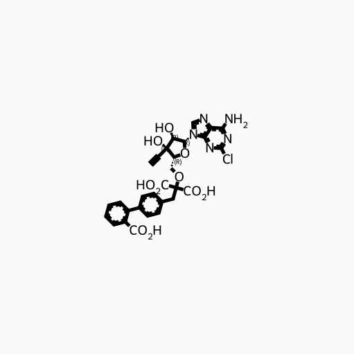 C#C[C@@]1(O)[C@@H](COC(Cc2ccc(-c3ccccc3C(=O)O)cc2)(C(=O)O)C(=O)O)O[C@@H](n2cnc3c(N)nc(Cl)nc32)[C@@H]1O